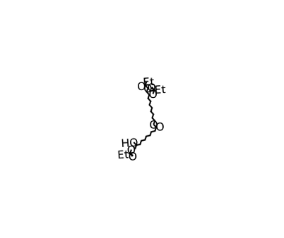 CCC(=O)OCC(O)CCCCCCCC(=O)OCCCCCCCCC(COC(=O)CC)OC(=O)CC